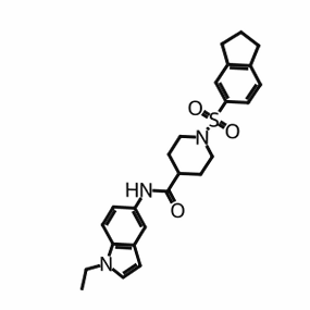 CCn1ccc2cc(NC(=O)C3CCN(S(=O)(=O)c4ccc5c(c4)CCC5)CC3)ccc21